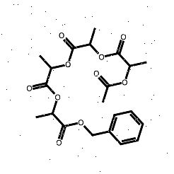 CC(=O)OC(C)C(=O)OC(C)C(=O)OC(C)C(=O)OC(C)C(=O)OCc1ccccc1